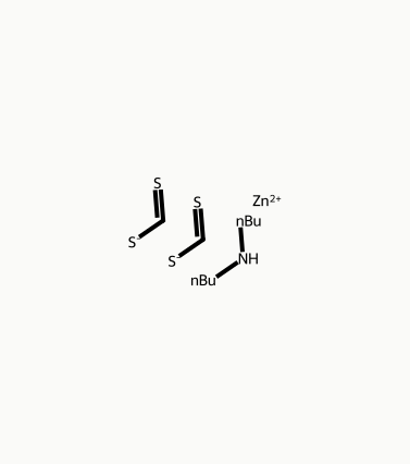 CCCCNCCCC.S=C[S-].S=C[S-].[Zn+2]